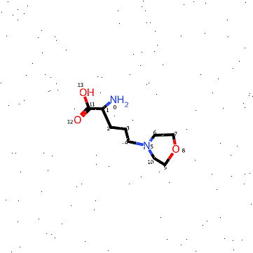 NC(CCCN1CCOCC1)C(=O)O